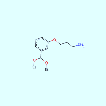 CCOC(OCC)c1cccc(OCCCN)c1